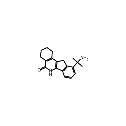 CC(C)(N)c1cccc2c1Cc1c-2[nH]c(=O)c2c1CCCC2